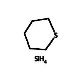 C1CCSCC1.[SiH4]